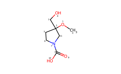 COC1(CO)CCN(C(=O)O)C1